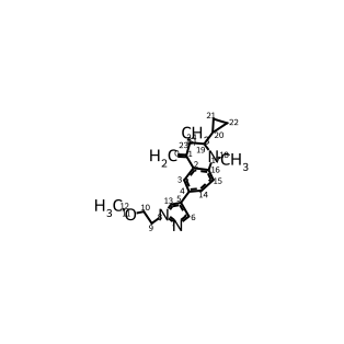 C=C1c2cc(-c3cnn(CCOC)c3)ccc2N(C)C(C2CC2)[C@H]1C